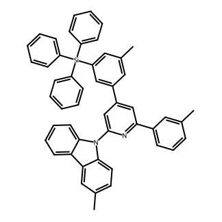 Cc1cccc(-c2cc(-c3cc(C)cc([Si](c4ccccc4)(c4ccccc4)c4ccccc4)c3)cc(-n3c4ccccc4c4cc(C)ccc43)n2)c1